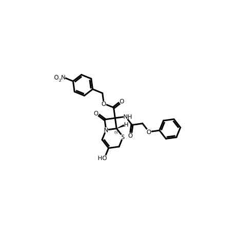 O=C(COc1ccccc1)NC1(C(=O)OCc2ccc([N+](=O)[O-])cc2)C(=O)N2C=C(O)CS[C@H]21